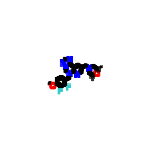 COc1ccc(CN2Cn3ncnc3-c3cc(CN4C[C@@H](C)O[C@@H](C)C4)cnc32)c(F)c1F